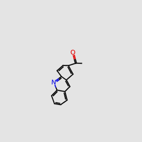 CC(=O)c1ccc2nc3ccccc3cc2c1